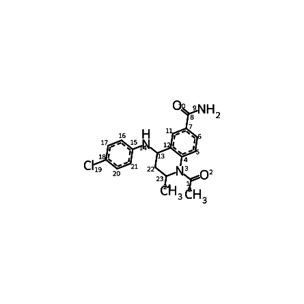 CC(=O)N1c2ccc(C(N)=O)cc2C(Nc2ccc(Cl)cc2)CC1C